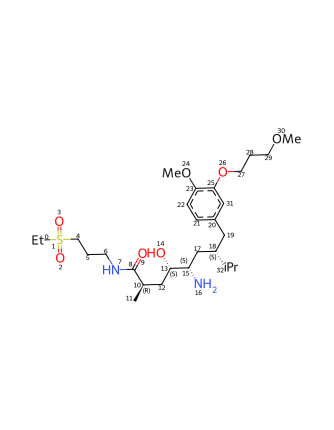 CCS(=O)(=O)CCCNC(=O)[C@H](C)C[C@H](O)[C@@H](N)C[C@H](Cc1ccc(OC)c(OCCCOC)c1)C(C)C